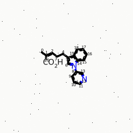 C/C(=C/CCc1cn(-c2cccnc2)c2ccccc12)C(=O)O